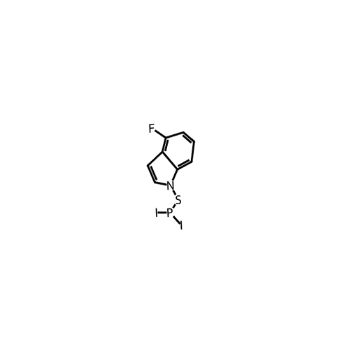 Fc1cccc2c1ccn2SP(I)I